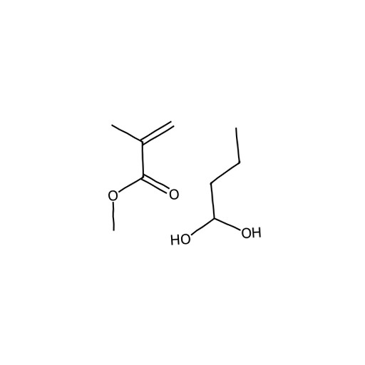 C=C(C)C(=O)OC.CCCC(O)O